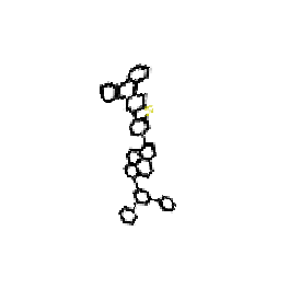 c1ccc(-c2cc(-c3ccccc3)cc(-c3ccc4ccc5c(-c6ccc7c(c6)sc6cc8c9ccccc9c9ccccc9c8cc67)ccc6ccc3c4c65)c2)cc1